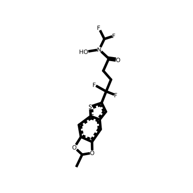 CC1Oc2cc3cc(C(F)(F)CCC(=O)N(O)C(F)F)sc3cc2O1